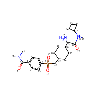 CN(C)C(=O)c1ccc(S(=O)(=O)CC2CCC([C@H](N)C(=O)N(C)C3CCC3)CC2)cc1